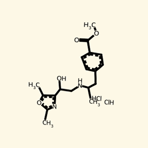 COC(=O)c1ccc(CC(C)NCC(O)c2nc(C)oc2C)cc1.Cl.Cl